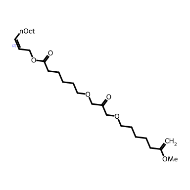 C=C(CCCCCOCC(=O)COCCCCCC(=O)OC/C=C\CCCCCCCC)OC